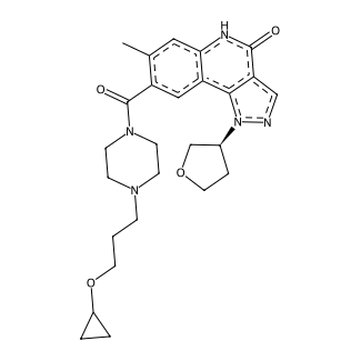 Cc1cc2[nH]c(=O)c3cnn([C@H]4CCOC4)c3c2cc1C(=O)N1CCN(CCCOC2CC2)CC1